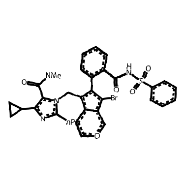 CCCc1nc(C2CC2)c(C(=O)NC)n1Cc1c2ccocc-2c(Br)c1-c1ccccc1C(=O)NS(=O)(=O)c1ccccc1